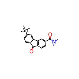 CN(C)C(=O)c1ccc2c(c1)-c1c[c]([Sn]([CH3])([CH3])[CH3])ccc1C2=O